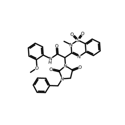 COc1ccccc1NC(=O)C(C1=Nc2ccccc2S(=O)(=O)N1C)N1C(=O)CN(Cc2ccccc2)C1=O